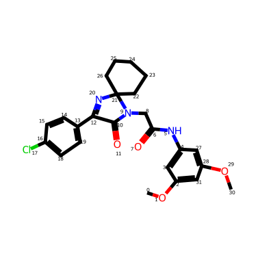 COc1cc(NC(=O)CN2C(=O)C(c3ccc(Cl)cc3)=NC23CCCCC3)cc(OC)c1